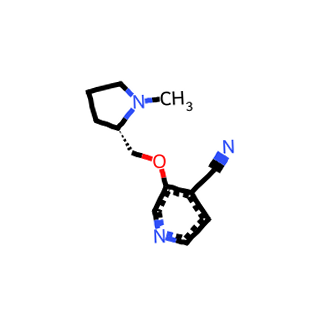 CN1CCC[C@H]1COc1cnccc1C#N